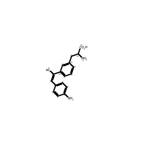 N#CC(=Cc1ccc(N)cc1)c1cccc(CC(N)C(=O)O)c1